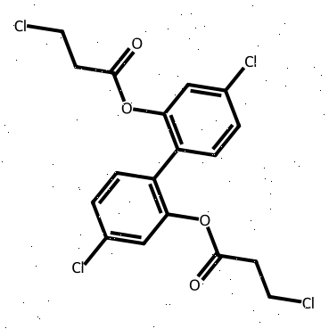 O=C(CCCl)Oc1cc(Cl)ccc1-c1ccc(Cl)cc1OC(=O)CCCl